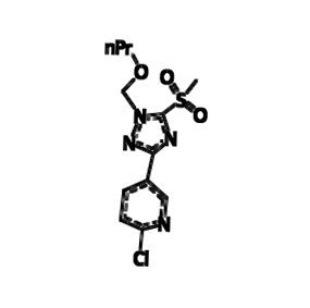 CCCOCn1nc(-c2ccc(Cl)nc2)nc1S(C)(=O)=O